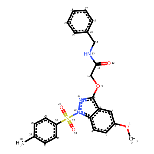 COc1ccc2c(c1)c(OCC(=O)NCc1ccccc1)nn2S(=O)(=O)c1ccc(C)cc1